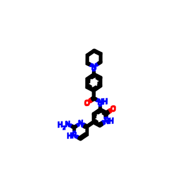 NC1N=C(c2c[nH]c(=O)c(NC(=O)c3ccc(N4CCCCC4)cc3)c2)C=CN1